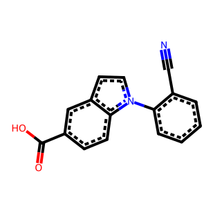 N#Cc1ccccc1-n1ccc2cc(C(=O)O)ccc21